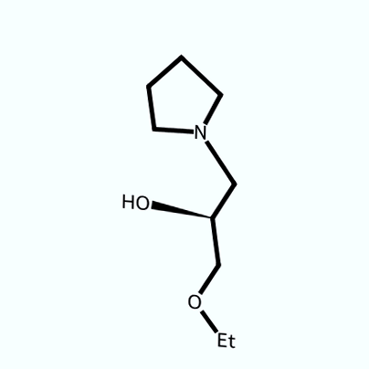 CCOC[C@@H](O)CN1CCCC1